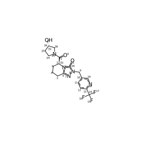 O=C([C@@H]1CCCc2nn(Cc3ccc(C(F)(F)F)nc3)c(=O)n21)N1CC[C@H](O)C1